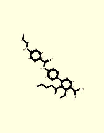 CCCCC(C)c1c(-c2ccc(OC(=O)c3ccc(OCCC)cc3)cc2)ccc(C(=O)O)c1CC